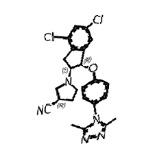 Cc1nnc(C)n1-c1ccc(O[C@@H]2c3cc(Cl)cc(Cl)c3C[C@@H]2N2CC[C@@H](C#N)C2)cc1